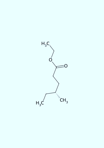 CCOC(=O)CC[C@H](C)CC